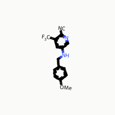 [C-]#[N+]c1ncc(NCc2ccc(OC)cc2)cc1C(F)(F)F